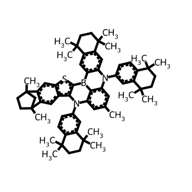 Cc1cc2c3c(c1)N(c1ccc4c(c1)C(C)(C)CCC4(C)C)c1c(sc4cc5c(cc14)C1(C)CCC5(C)C1)B3c1cc3c(cc1N2c1ccc2c(c1)C(C)(C)CCC2(C)C)C(C)(C)CCC3(C)C